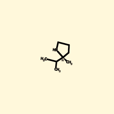 CC(C)[C@]1(C)CCCN1